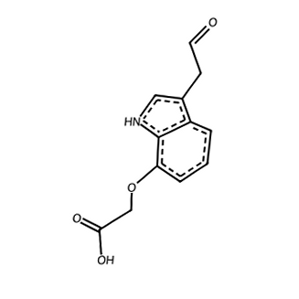 O=CCc1c[nH]c2c(OCC(=O)O)cccc12